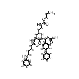 C=CCOC(=O)NCCCC[C@H](NC(=O)CCCCNc1ccccn1)C(=O)NC(CC(=O)O)c1ccc(-c2ccccc2)cc1